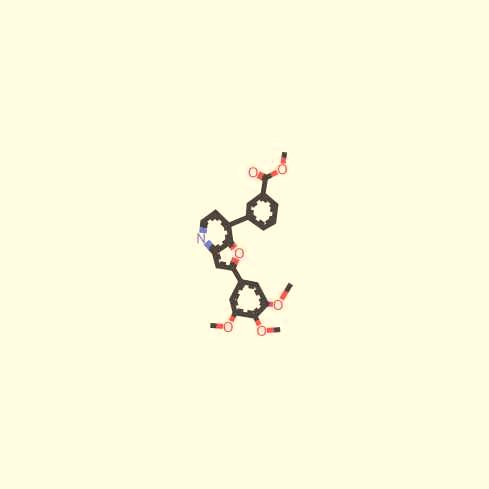 COC(=O)c1cccc(-c2ccnc3cc(-c4cc(OC)c(OC)c(OC)c4)oc23)c1